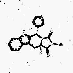 CCCCN1C(=O)[C@@H]2Cc3c([nH]c4ccccc34)[C@H](c3ccsc3)N2C1=O